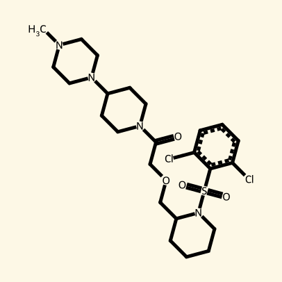 CN1CCN(C2CCN(C(=O)COCC3CCCCN3S(=O)(=O)c3c(Cl)cccc3Cl)CC2)CC1